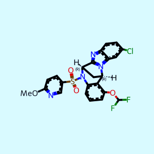 COc1ccc(S(=O)(=O)N2c3cccc(OC(F)F)c3[C@H]3C[C@@H]2c2nc4ccc(Cl)cc4n23)cn1